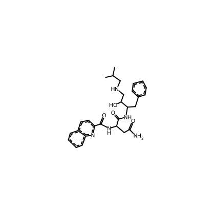 CC(C)CNCC(O)C(Cc1ccccc1)NC(=O)C(CC(N)=O)NC(=O)c1ccc2ccccc2n1